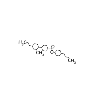 CCCCC1CCC(OC(=O)[C@H]2CC[C@H]([C@@H]3CC[C@H](CCC)C[C@H]3C)CC2)CC1